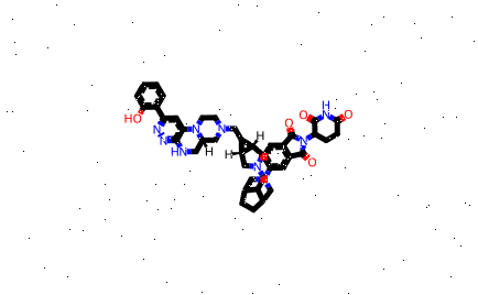 O=C1CCC(N2C(=O)c3ccc(N4CC5CCC(C4)C5CN4C[C@@H]5C(CN6CCN7c8cc(-c9ccccc9O)nnc8NC[C@H]7C6)[C@@H]5C4)cc3C2=O)C(=O)N1